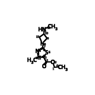 CCOC(=O)c1sc(N2CC(NC)C2)nc1C